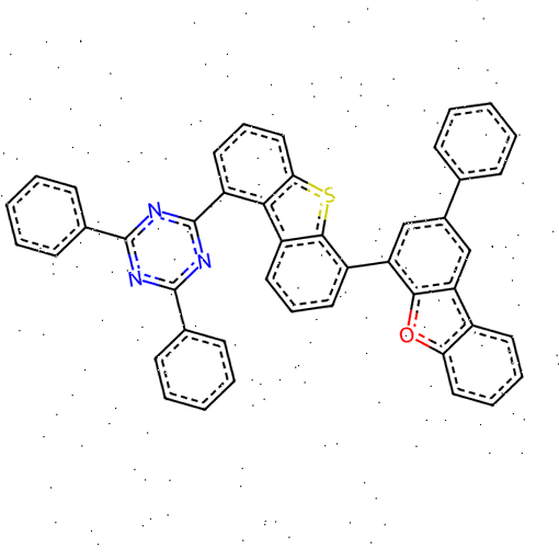 c1ccc(-c2cc(-c3cccc4c3sc3cccc(-c5nc(-c6ccccc6)nc(-c6ccccc6)n5)c34)c3oc4ccccc4c3c2)cc1